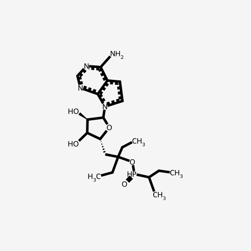 CCC(C)[PH](=O)OC(CC)(CC)C[C@H]1OC(n2ccc3c(N)ncnc32)[C@H](O)C1O